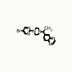 CC(c1ccc2nccnc2c1)N1CCN(c2ncc(Br)cn2)CC1